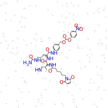 CC(C=N)[C@H](NC(=O)CCCCCN1C(=O)C=CC1=O)C(=O)N[C@@H](CCCNC(N)=O)C(=O)Nc1ccc(COC(=O)Oc2ccc([N+](=O)[O-])cc2)cc1